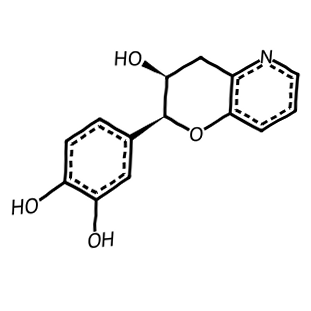 Oc1ccc([C@@H]2Oc3cccnc3C[C@@H]2O)cc1O